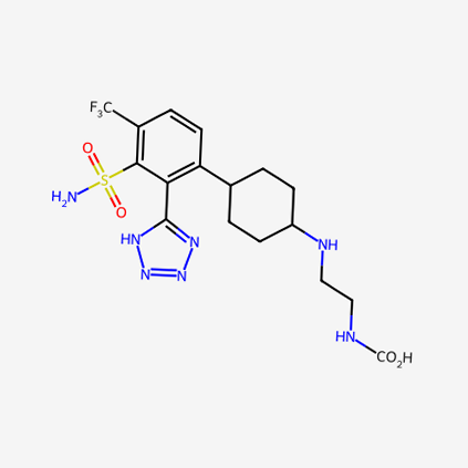 NS(=O)(=O)c1c(C(F)(F)F)ccc(C2CCC(NCCNC(=O)O)CC2)c1-c1nnn[nH]1